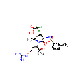 CNC(=O)C(CCONC(=N)N)n1c(C)ccc(NS(=O)(=O)c2cccc(C)c2)c1=O.O=C(O)C(F)(F)F